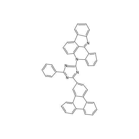 c1ccc(-c2nc(-c3ccc4c5ccccc5c5ccccc5c4c3)nc(N3c4ccccc4-c4nc5ccccc5c5cccc3c45)n2)cc1